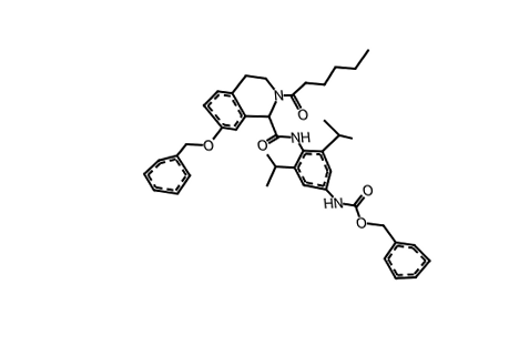 CCCCCC(=O)N1CCc2ccc(OCc3ccccc3)cc2C1C(=O)Nc1c(C(C)C)cc(NC(=O)OCc2ccccc2)cc1C(C)C